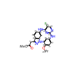 COC(=O)Cc1n[nH]c2cc(Nc3nc(Nc4ccc(OC(C)C)cc4)ncc3F)ccc12